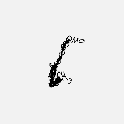 COCCOCCOCCOCCOCCOCCOCC(=O)N1CCN(CCCN2c3ccccc3Sc3ccc(C)cc32)CC1